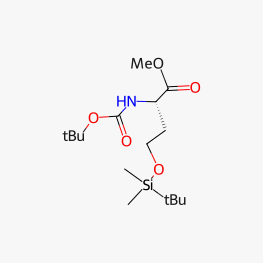 COC(=O)[C@H](CCO[Si](C)(C)C(C)(C)C)NC(=O)OC(C)(C)C